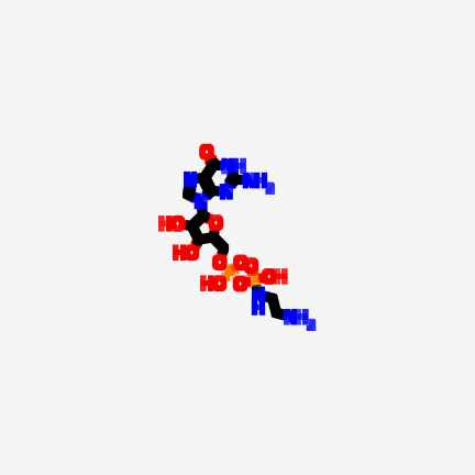 NCCNP(=O)(O)OP(=O)(O)OCC1OC(n2cnc3c(=O)[nH]c(N)nc32)C(O)C1O